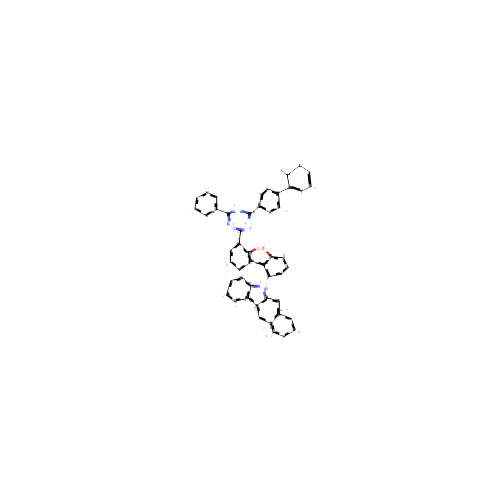 CC1CC=CC=C1c1ccc(-c2nc(-c3ccccc3)nc(-c3cccc4c3oc3cccc(-n5c6ccccc6c6cc7ccccc7cc65)c34)n2)cc1